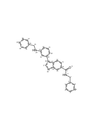 O=C(NCc1cccnc1)c1ccc2c(c1)ncn2-c1cccc(NCc2ccncc2)c1